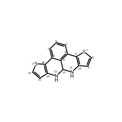 c1cc2c3c(c1)-c1sccc1NC3Nc1ccsc1-2